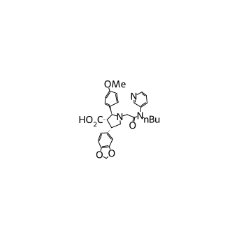 CCCCN(C(=O)CN1C[C@H](c2ccc3c(c2)OCO3)[C@H](C(=O)O)[C@H]1c1ccc(OC)cc1)c1cccnc1